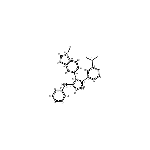 CC(C)c1cccc(-c2nnc(Nc3ccccc3)n2-c2ccc3c(ccn3C)c2)c1